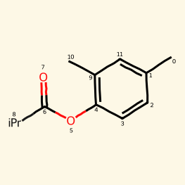 Cc1ccc(OC(=O)C(C)C)c(C)c1